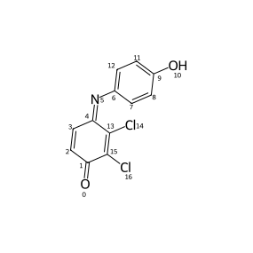 O=C1C=CC(=Nc2ccc(O)cc2)C(Cl)=C1Cl